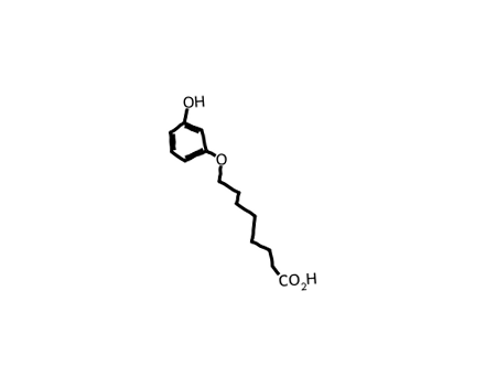 O=C(O)CCCCCCCOc1cccc(O)c1